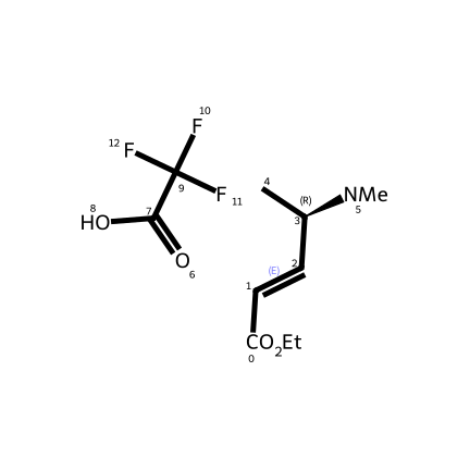 CCOC(=O)/C=C/[C@@H](C)NC.O=C(O)C(F)(F)F